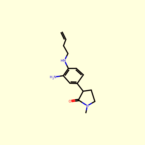 C=CCCNc1ccc(C2CCN(C)C2=O)cc1N